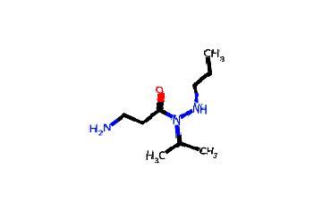 CCCNN(C(=O)CCN)C(C)C